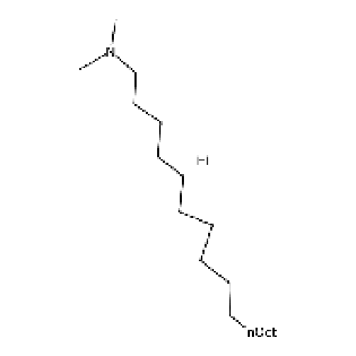 CCCCCCCCCCCCCCCCCCN(C)C.I